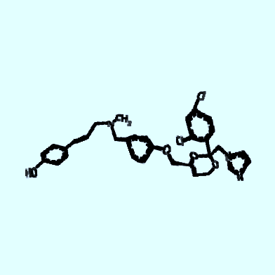 CN(C/C=C/c1ccc(O)cc1)Cc1ccc(OC[C@@H]2CCO[C@@](Cn3ccnc3)(c3ccc(Cl)cc3Cl)O2)cc1